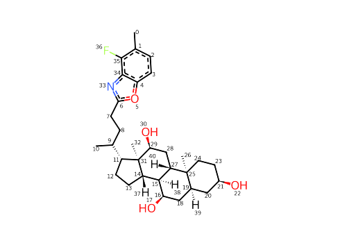 Cc1ccc2oc(CCC(C)[C@H]3CC[C@H]4[C@@H]5[C@H](O)C[C@@H]6C[C@H](O)CC[C@]6(C)[C@H]5C[C@H](O)[C@]34C)nc2c1F